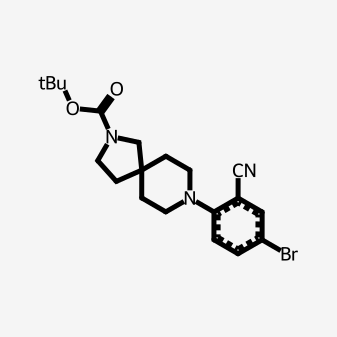 CC(C)(C)OC(=O)N1CCC2(CCN(c3ccc(Br)cc3C#N)CC2)C1